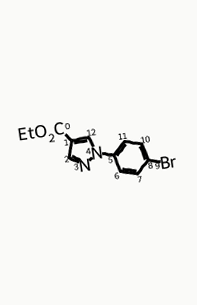 CCOC(=O)c1cnn(-c2ccc(Br)cc2)c1